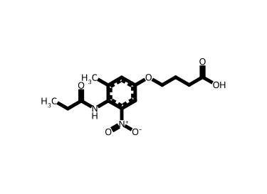 CCC(=O)Nc1c(C)cc(OCCCC(=O)O)cc1[N+](=O)[O-]